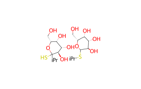 CC(C)C1(S)O[C@H](CO)[C@H](O)[C@H](O)[C@H]1O.CC(C)SC1O[C@H](CO)[C@H](O)[C@H](O)[C@H]1O